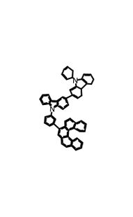 C1=CCC(N2C3=CC(c4ccc5c(c4)c4ccccc4n5-c4cccc(-c5cc6ccc7ccccc7c6c6c5ccc5ccccc56)c4)=CCC3C3=C2C=CCC3)C=C1